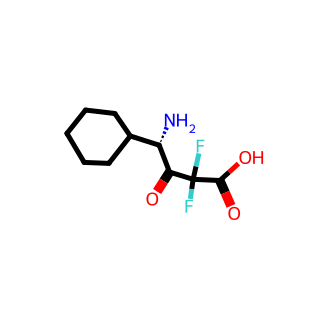 N[C@H](C(=O)C(F)(F)C(=O)O)C1CCCCC1